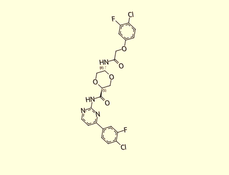 O=C(COc1ccc(Cl)c(F)c1)N[C@H]1CO[C@H](C(=O)Nc2nccc(-c3ccc(Cl)c(F)c3)n2)CO1